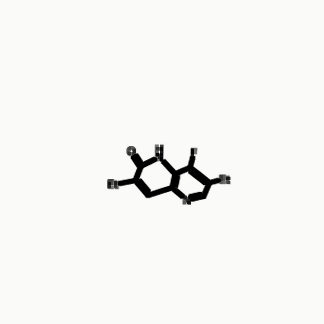 CCc1cnc2cc(CC)c(=O)[nH]c2c1F